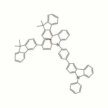 CC1(C)c2ccccc2-c2cc(-c3ccc(N(c4ccc(-c5ccc6c(c5)c5ccccc5n6-c5ccccc5)cc4)c4ccccc4-c4cccc5c4-c4ccccc4C5(C)C)cc3)ccc21